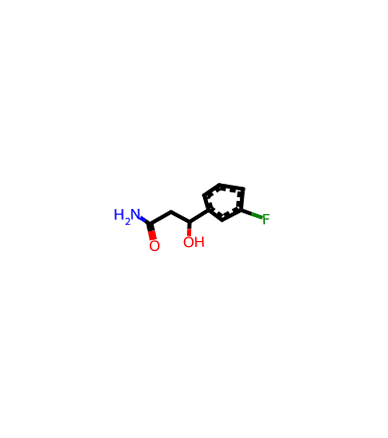 NC(=O)CC(O)c1cccc(F)c1